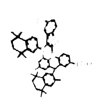 Cc1cc2c3c(c1)[C@](C)(c1cc4c(cc1C)C(C)(C)CCC4(C)C)c1cc(C(C)(C)C)ccc1B3c1oc3ccc(C(C)(C)C)cc3c1N2c1ccc2c(c1)C(C)(C)CCC2(C)C